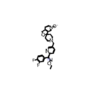 CCO/N=C(\c1ccc(F)c(F)c1)c1ccc(CN2CCC3(CC2)OCc2cc[n+]([O-])cc23)cn1